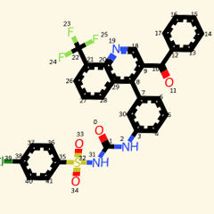 O=C(Nc1cccc(-c2c(C(=O)c3ccccc3)cnc3c(C(F)(F)F)cccc23)c1)NS(=O)(=O)c1ccc(Cl)cc1